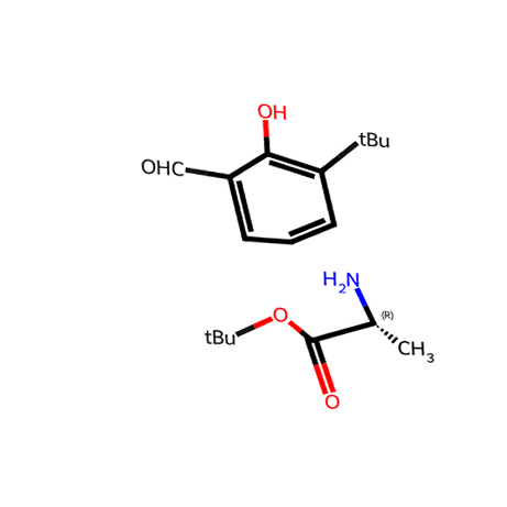 CC(C)(C)c1cccc(C=O)c1O.C[C@@H](N)C(=O)OC(C)(C)C